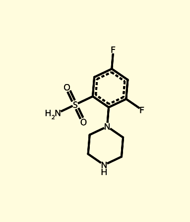 NS(=O)(=O)c1cc(F)cc(F)c1N1CCNCC1